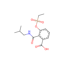 CCS(=O)(=O)Oc1cccc(C(=O)O)c1C(=O)NCC(C)C